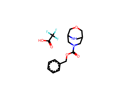 O=C(O)C(F)(F)F.O=C(OCc1ccccc1)N1CC2CNC(COC2)C1